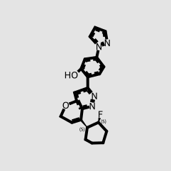 Oc1cc(-n2cccn2)ccc1-c1cc2c(nn1)C([C@@H]1CCCC[C@@H]1F)=CCO2